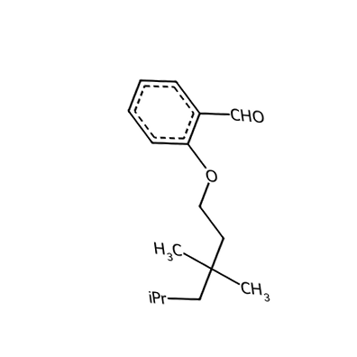 CC(C)CC(C)(C)CCOc1ccccc1C=O